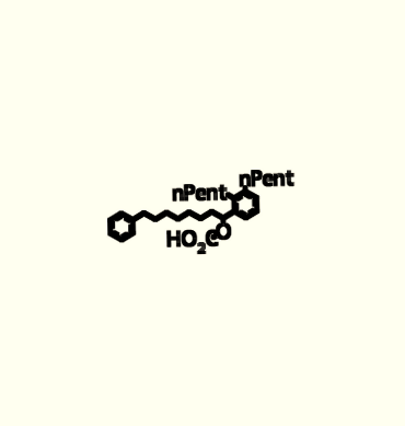 CCCCCc1cccc(C(CCCCCCCc2ccccc2)OC(=O)O)c1CCCCC